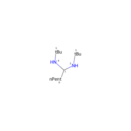 CCCCCC(NC(C)(C)C)NC(C)(C)C